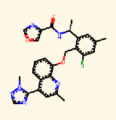 Cc1cc(Cl)c(COc2cccc3c(-c4ncnn4C)cc(C)nc23)c([C@H](C)NC(=O)c2cocn2)c1